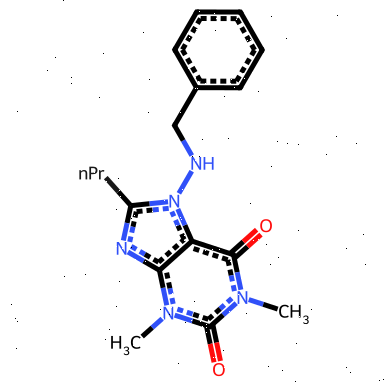 CCCc1nc2c(c(=O)n(C)c(=O)n2C)n1NCc1ccccc1